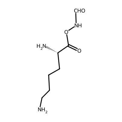 NCCCC[C@H](N)C(=O)ONC=O